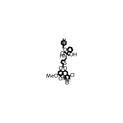 COc1ccc(C(Cc2c(Cl)c[n+]([O-])cc2Cl)OC(=O)c2ccc(CNC(CO)(C(=O)OCC34CCN(CC3)CC4)c3ccccc3)s2)cc1OC